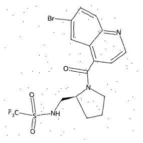 O=C(c1ccnc2ccc(Br)cc12)N1CCC[C@H]1CNS(=O)(=O)C(F)(F)F